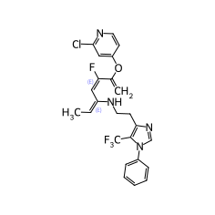 C=C(Oc1ccnc(Cl)c1)/C(F)=C\C(=C/C)NCCc1ncn(-c2ccccc2)c1C(F)(F)F